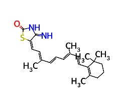 CC(C=CC1=C(C)CCCC1(C)C)=CC=CC(C)=CC=C1SC(=O)NC1=N